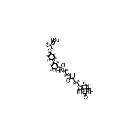 CC(C)(C)OC(=O)COc1ccc(-c2cccc(C(=O)NCCNC(=O)CCCC[C@@H]3SC[C@@H]4NC(=O)N[C@@H]43)c2)cc1